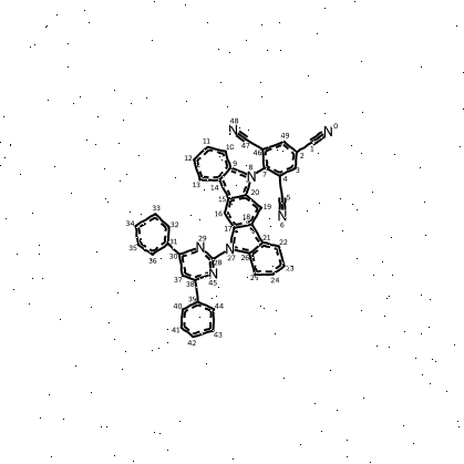 N#Cc1cc(C#N)c(-n2c3ccccc3c3cc4c(cc32)c2ccccc2n4-c2nc(-c3ccccc3)cc(-c3ccccc3)n2)c(C#N)c1